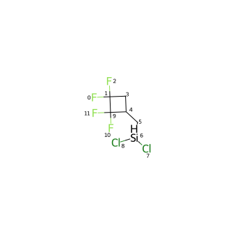 FC1(F)CC(C[SiH](Cl)Cl)C1(F)F